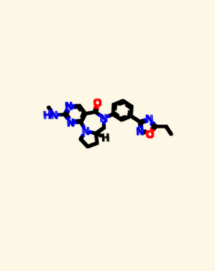 CCc1nc(-c2cccc(N3C[C@@H]4CCCN4c4nc(NC)ncc4C3=O)c2)no1